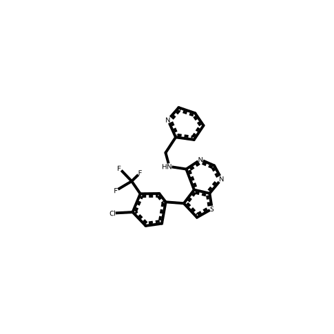 FC(F)(F)c1cc(-c2csc3ncnc(NCc4ccccn4)c23)ccc1Cl